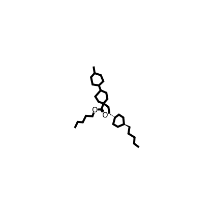 CCCCCOC(=O)C1(CC[C@H]2CC[C@H](CCCCC)CC2)CCC(C2CCC(C)CC2)CC1